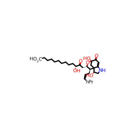 CCC/C=C\C[C@H]1[C@H](CC(=O)[C@H](O)CCCCCCCCCC(=O)O)O[C@@]2(O)CC13C(=CC2=O)NC[C@H]3O